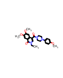 CCn1cc(C(=O)N2CCN(c3ccc(OC)cc3)CC2)c2cc(OC)c(OC)cc2c1=O